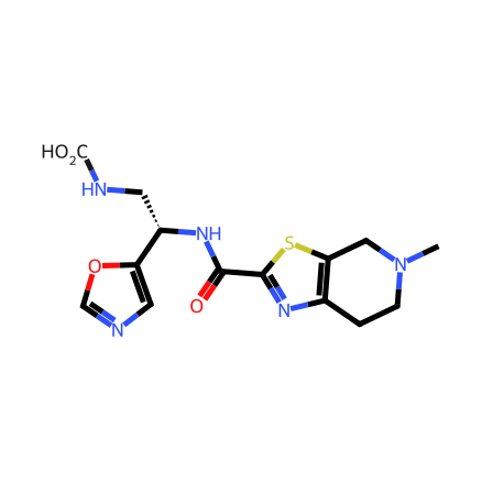 CN1CCc2nc(C(=O)N[C@@H](CNC(=O)O)c3cnco3)sc2C1